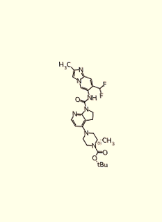 Cc1cn2cc(NC(=O)N3CCc4c(N5CCN(C(=O)OC(C)(C)C)[C@@H](C)C5)ccnc43)c(C(F)F)cc2n1